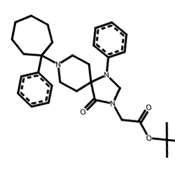 CC(C)(C)OC(=O)CN1CN(c2ccccc2)C2(CCN(C3(c4ccccc4)CCCCCC3)CC2)C1=O